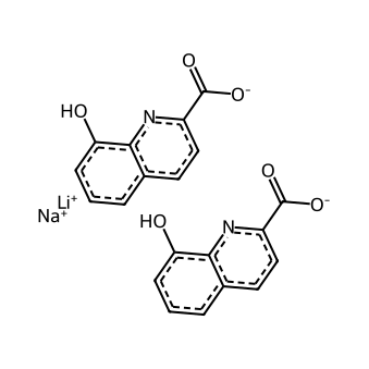 O=C([O-])c1ccc2cccc(O)c2n1.O=C([O-])c1ccc2cccc(O)c2n1.[Li+].[Na+]